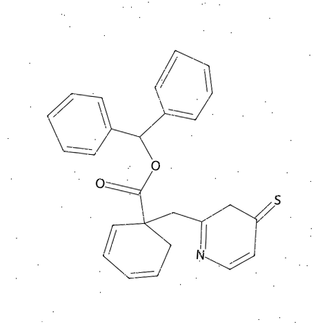 O=C(OC(c1ccccc1)c1ccccc1)C1(CC2=NC=CC(=S)C2)C=CC=CC1